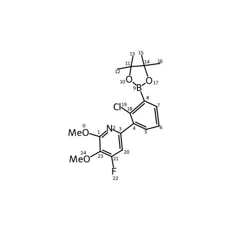 COc1nc(-c2cccc(B3OC(C)(C)C(C)(C)O3)c2Cl)cc(F)c1OC